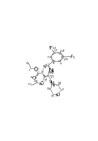 CCOC(=O)c1nc(-c2cc(F)cc(F)c2)nc(N2CCOCC2)c1OCC